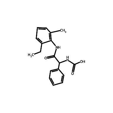 CCc1cccc(C)c1NC(=O)C(NC(=O)O)c1ccccc1